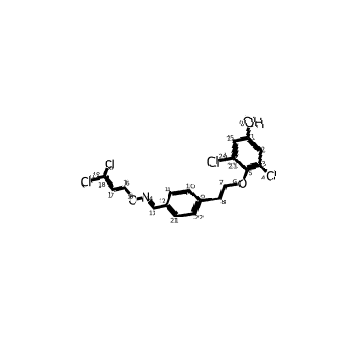 Oc1cc(Cl)c(OCCc2ccc(C=NOCC=C(Cl)Cl)cc2)c(Cl)c1